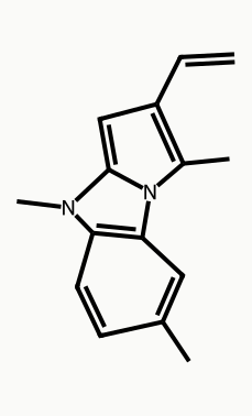 C=Cc1cc2n(C)c3ccc(C)cc3n2c1C